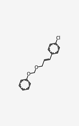 Clc1ccc(C=CCOCOc2ccccc2)cc1